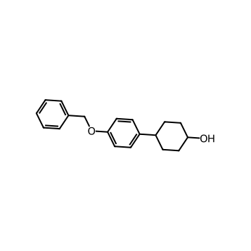 OC1CCC(c2ccc(OCc3ccccc3)cc2)CC1